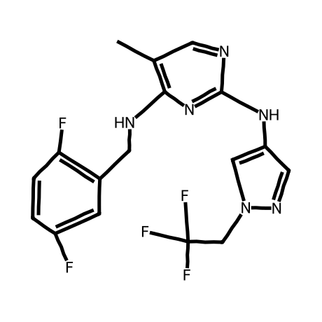 Cc1cnc(Nc2cnn(CC(F)(F)F)c2)nc1NCc1cc(F)ccc1F